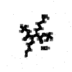 CCON=CN(C(=O)OC(C)(C)C)[C@@H](CCCCN)C(=O)OC(C)(C)C.Cl